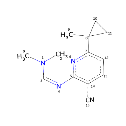 CN(C)/C=N\c1nc(C2(C)CC2)ccc1C#N